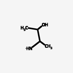 CC([NH])C(C)O